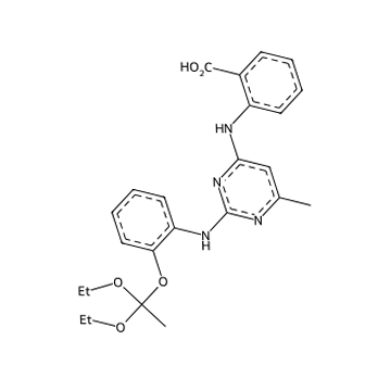 CCOC(C)(OCC)Oc1ccccc1Nc1nc(C)cc(Nc2ccccc2C(=O)O)n1